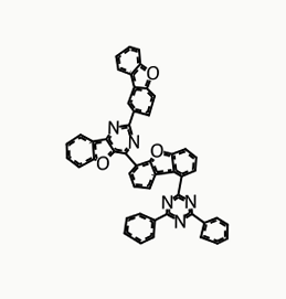 c1ccc(-c2nc(-c3ccccc3)nc(-c3cccc4oc5c(-c6nc(-c7ccc8oc9ccccc9c8c7)nc7c6oc6ccccc67)cccc5c34)n2)cc1